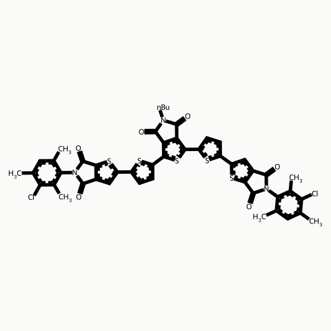 CCCCN1C(=O)c2c(-c3ccc(-c4cc5c(s4)C(=O)N(c4c(C)cc(C)c(Cl)c4C)C5=O)s3)sc(-c3ccc(-c4cc5c(s4)C(=O)N(c4c(C)cc(C)c(Cl)c4C)C5=O)s3)c2C1=O